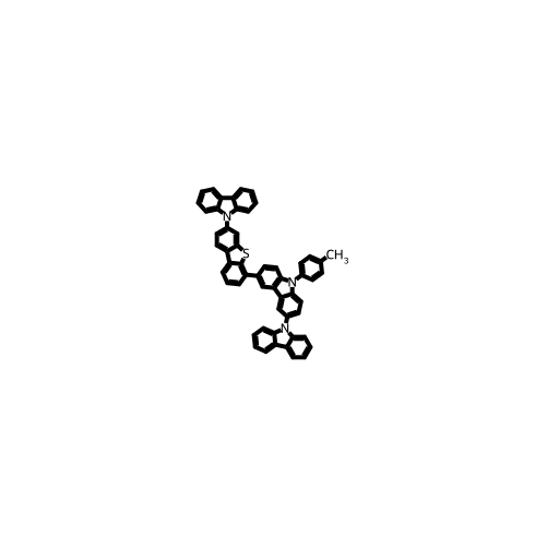 Cc1ccc(-n2c3ccc(-c4cccc5c4sc4cc(-n6c7ccccc7c7ccccc76)ccc45)cc3c3cc(-n4c5ccccc5c5ccccc54)ccc32)cc1